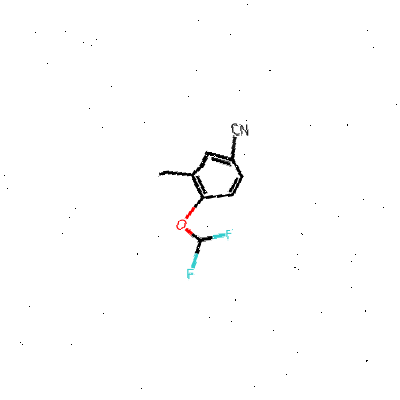 Cc1cc(C#N)ccc1OC(F)F